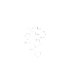 CC(c1nc2cccc(Cl)c2nc1-c1ccccc1S(C)(=O)=O)N1C(=O)c2ccccc2C1=O